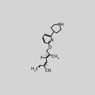 C=C/C(C#N)=C\C(F)=C(/C)COc1cccc(C2CCNCC2)n1